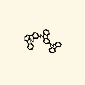 c1ccc2c(c1)c1ccccc1n2-c1ccc2c(c1)c1ccccc1n2-c1ccc2c3cccc4c5ccccc5n(c2c1)c43